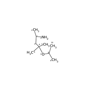 CC(N)CC(C)(C)OC(C)C